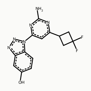 Nc1nc(C2CC(F)(F)C2)cc(-n2nnc3cc(O)ccc32)n1